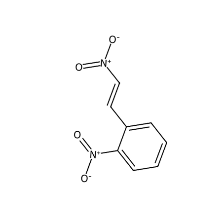 O=[N+]([O-])C=Cc1ccccc1[N+](=O)[O-]